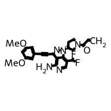 C=CC(=O)N1CC[C@H](n2nc(C#Cc3cc(OC)cc(OC)c3)c3c(N)ncc(C(F)F)c32)C1